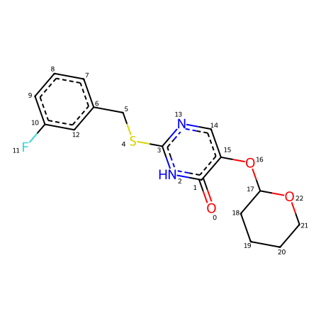 O=c1[nH]c(SCc2cccc(F)c2)ncc1OC1CCCCO1